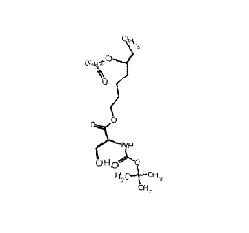 CCC(CCCCOC(=O)C(CO)NC(=O)OC(C)(C)C)O[N+](=O)[O-]